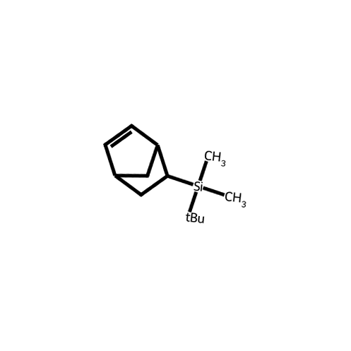 CC(C)(C)[Si](C)(C)C1CC2C=CC1C2